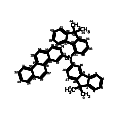 CC1(C)c2ccccc2-c2cc(N(c3ccc4ccc5c6ccccc6ccc5c4c3)c3cccc4c3-c3ccccc3C4(C)C)ccc21